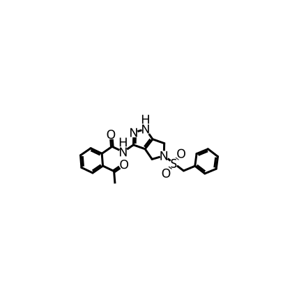 CC(=O)c1ccccc1C(=O)Nc1n[nH]c2c1CN(S(=O)(=O)Cc1ccccc1)C2